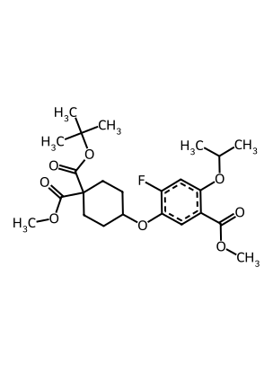 COC(=O)c1cc(OC2CCC(C(=O)OC)(C(=O)OC(C)(C)C)CC2)c(F)cc1OC(C)C